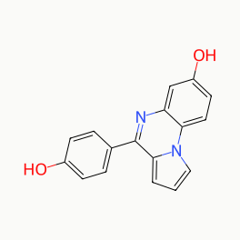 Oc1ccc(-c2nc3cc(O)ccc3n3cccc23)cc1